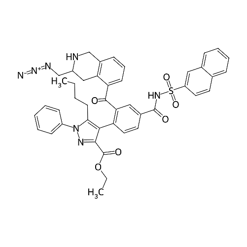 CCCCc1c(-c2ccc(C(=O)NS(=O)(=O)c3ccc4ccccc4c3)cc2C(=O)c2cccc3c2CC(CN=[N+]=[N-])NC3)c(C(=O)OCC)nn1-c1ccccc1